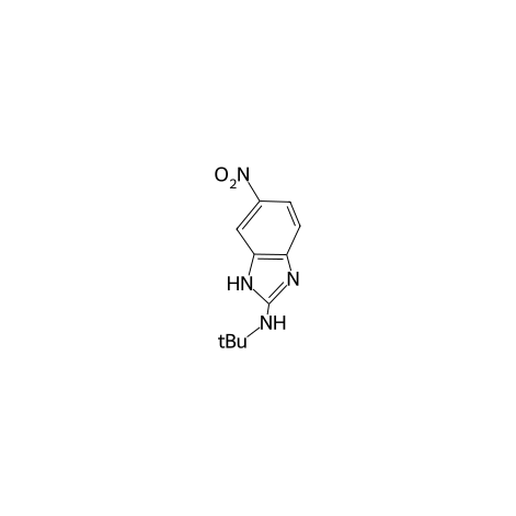 CC(C)(C)Nc1nc2ccc([N+](=O)[O-])cc2[nH]1